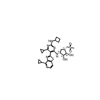 CS(=O)(=O)C[C@H]1C[C@@H](Nc2nc(NC3CCC3)nc(C3CC3)c2-c2nc3c(C4CC4)nccc3s2)[C@H](O)[C@@H]1O